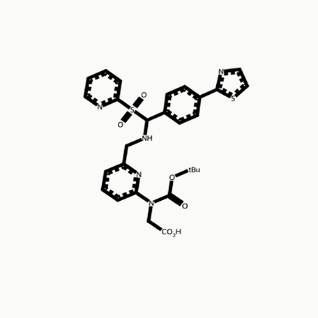 CC(C)(C)OC(=O)N(CC(=O)O)c1cccc(CNC(c2ccc(-c3nccs3)cc2)S(=O)(=O)c2ccccn2)n1